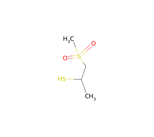 CC(S)CS(C)(=O)=O